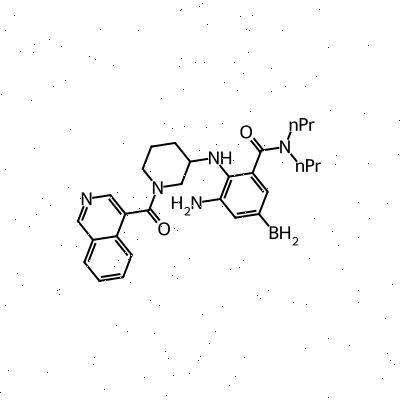 Bc1cc(N)c(NC2CCCN(C(=O)c3cncc4ccccc34)C2)c(C(=O)N(CCC)CCC)c1